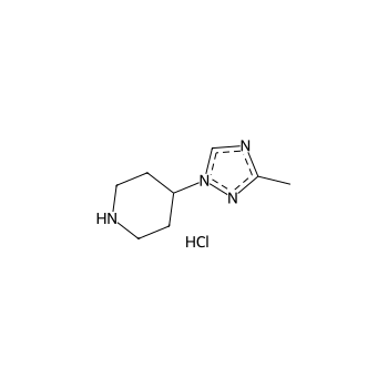 Cc1ncn(C2CCNCC2)n1.Cl